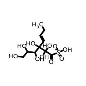 CCC=CC(O)(C(O)C(O)CO)C(O)(O)C(=O)S(=O)(=O)O